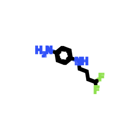 Nc1ccc(NCCCC(F)F)cc1